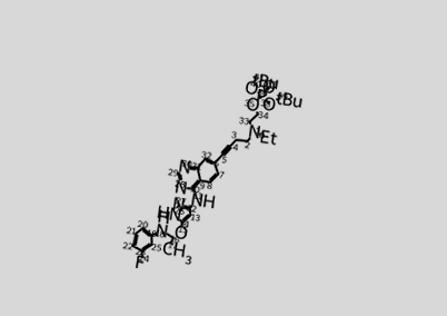 CCN(CCC#Cc1ccc2c(Nc3cc(OC(C)Nc4cccc(F)c4)[nH]n3)ncnc2c1)CCOP(=O)(OC(C)(C)C)OC(C)(C)C